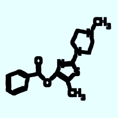 Cc1sc(N2CCN(C)CC2)nc1OC(=O)c1ccccc1